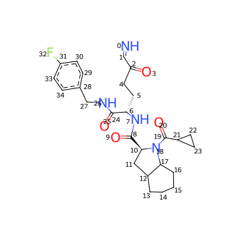 N=CC(=O)CC[C@H](NC(=O)[C@@H]1CC2CCCCC2N1C(=O)C1CC1)C(=O)NCc1ccc(F)cc1